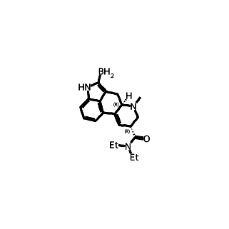 Bc1[nH]c2cccc3c2c1C[C@@H]1C3=C[C@@H](C(=O)N(CC)CC)CN1C